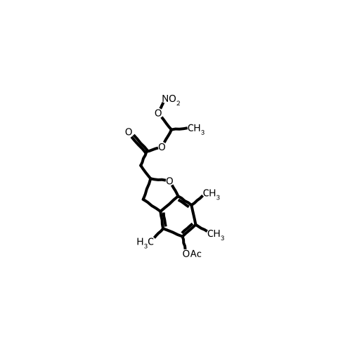 CC(=O)Oc1c(C)c(C)c2c(c1C)CC(CC(=O)OC(C)O[N+](=O)[O-])O2